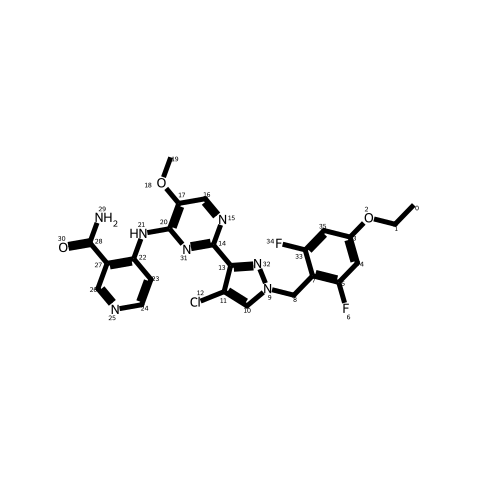 CCOc1cc(F)c(Cn2cc(Cl)c(-c3ncc(OC)c(Nc4ccncc4C(N)=O)n3)n2)c(F)c1